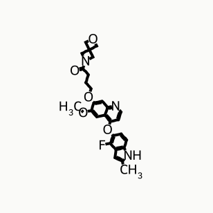 COc1cc2c(Oc3ccc4[nH]c(C)cc4c3F)ccnc2cc1OCCCC(=O)N1CC2(COC2)C1